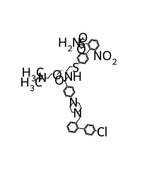 CN(C)CCOC[C@H](CSc1ccc(-c2c([N+](=O)[O-])cccc2S(N)(=O)=O)cc1)NC(=O)c1ccc(N2CCN(Cc3ccccc3-c3ccc(Cl)cc3)CC2)cc1